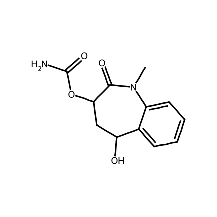 CN1C(=O)C(OC(N)=O)CC(O)c2ccccc21